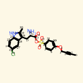 CC#CCOc1ccc(S(=O)(=O)OC(=O)[C@@H](N)Cc2c(C)[nH]c3ccc(Cl)cc23)cc1